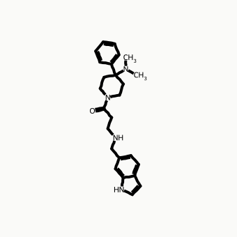 CN(C)C1(c2ccccc2)CCN(C(=O)CCNCc2ccc3cc[nH]c3c2)CC1